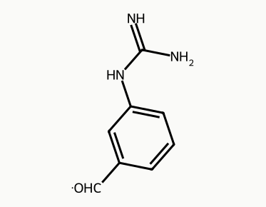 N=C(N)Nc1cccc([C]=O)c1